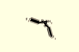 Nc1cc(C(=O)OCCC(F)(F)C(F)(F)C(F)(F)C(F)(F)C(F)(F)C(F)(F)C(F)(F)C(F)(F)F)cc(C(=O)OCCC(F)(F)C(F)(F)C(F)(F)C(F)(F)C(F)(F)C(F)(F)C(F)(F)C(F)(F)F)c1